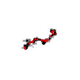 C[C@@H]1[C@H](O[PH](=O)OC[C@H]2O[C@@H](n3cnc4c(=O)n(CCOCNC(=O)CNC(=O)[C@H](Cc5ccccc5)NC(=O)CNC(=O)CNC(=O)CCC(=O)N5CC6=C(CCC=C6)c6c(nnn6C(C)(C)C)-c6ccccc65)cnc43)C[C@@H]2O)[C@@H](COP(=O)(O)S)O[C@H]1n1cc2c3c(ncnc31)NCCC2